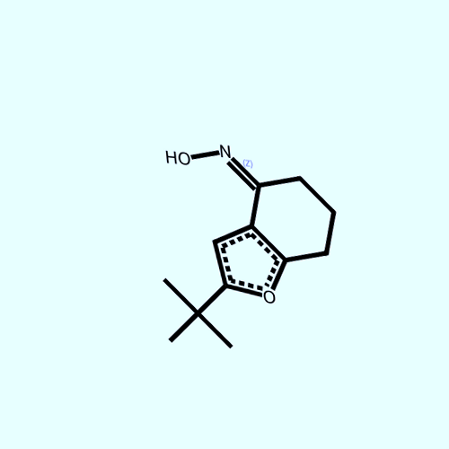 CC(C)(C)c1cc2c(o1)CCC/C2=N/O